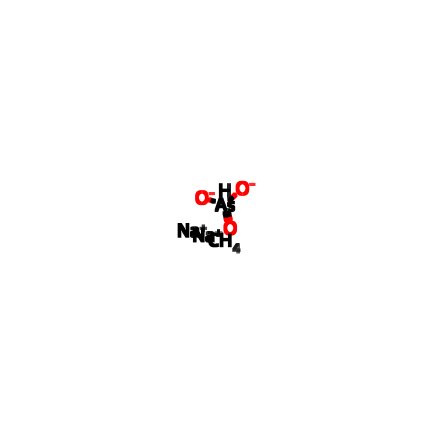 C.O=[AsH]([O-])[O-].[Na+].[Na+]